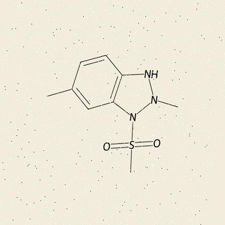 Cc1ccc2c(c1)N(S(C)(=O)=O)N(C)N2